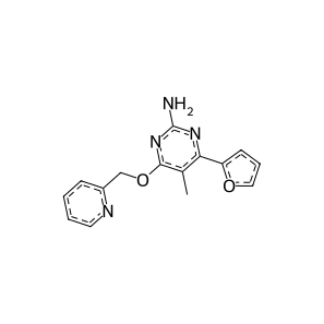 Cc1c(OCc2ccccn2)nc(N)nc1-c1ccco1